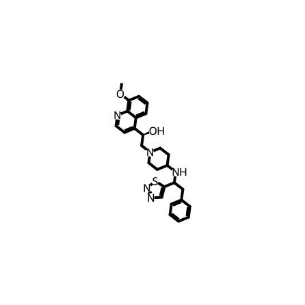 COc1cccc2c([C@@H](O)CN3CCC(NC(Cc4ccccc4)c4cnns4)CC3)ccnc12